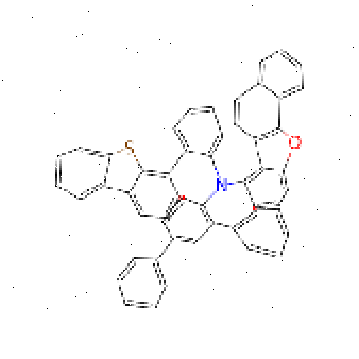 c1ccc(-c2ccc(N(c3ccccc3-c3cccc4c3sc3ccccc34)c3cccc4oc5c6ccccc6ccc5c34)c(-c3ccccc3)c2)cc1